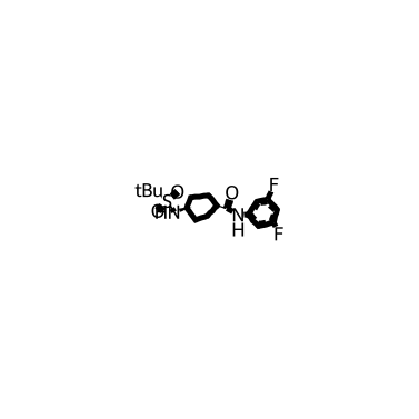 CC(C)(C)S(=O)(=O)N[C@H]1CC[C@H](C(=O)Nc2cc(F)cc(F)c2)CC1